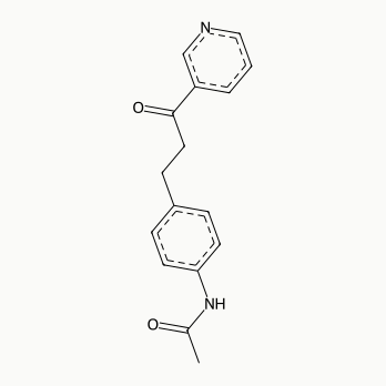 CC(=O)Nc1ccc(CCC(=O)c2cccnc2)cc1